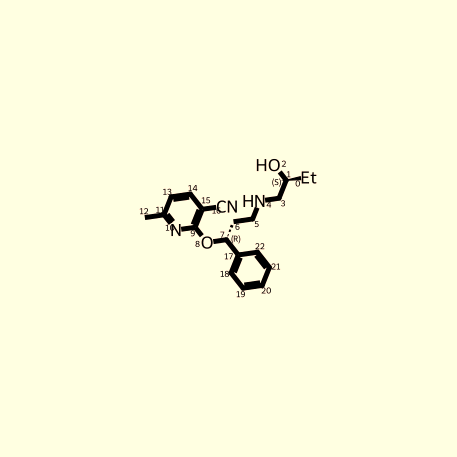 CC[C@H](O)CNCC[C@@H](Oc1nc(C)ccc1C#N)c1ccccc1